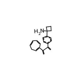 C=C(C(=C)c1ccc(C2(N)CCC2)cc1)C1=CCC=CC=C1